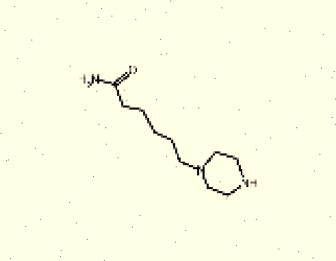 NC(=O)CCCCCN1CCNCC1